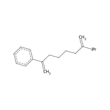 C=C(CCCCC(=C)C(C)C)c1ccccc1